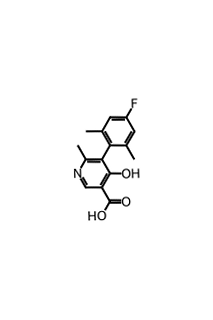 Cc1cc(F)cc(C)c1-c1c(C)ncc(C(=O)O)c1O